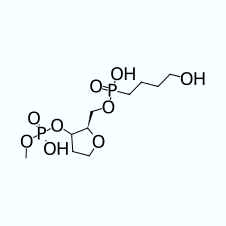 COP(=O)(O)OC1CCO[C@@H]1COP(=O)(O)CCCCO